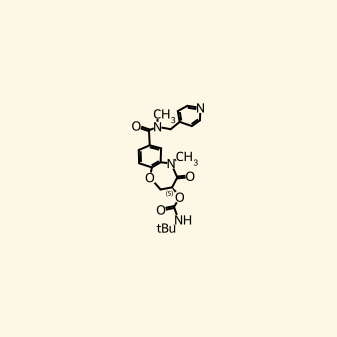 CN(Cc1ccncc1)C(=O)c1ccc2c(c1)N(C)C(=O)[C@@H](OC(=O)NC(C)(C)C)CO2